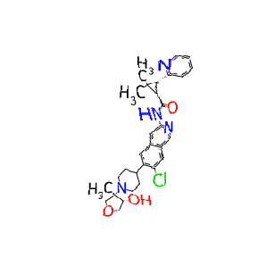 CC1(C)[C@H](C(=O)Nc2cc3cc(C4CCN([C@@]5(C)COC[C@H]5O)CC4)c(Cl)cc3cn2)[C@H]1c1ccccn1